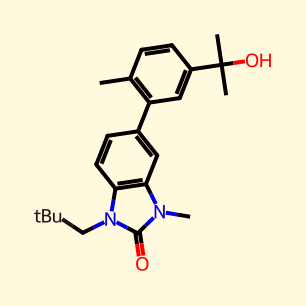 Cc1ccc(C(C)(C)O)cc1-c1ccc2c(c1)n(C)c(=O)n2CC(C)(C)C